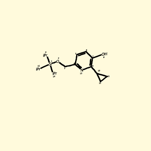 CC(C)[Si](OCc1ccc(O)c(C2CC2)n1)(C(C)C)C(C)C